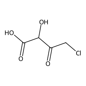 O=C(O)C(O)C(=O)CCl